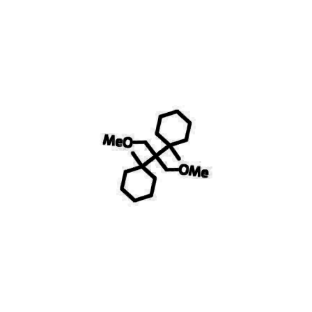 COCC(COC)(C1(C)CCCCC1)C1(C)CCCCC1